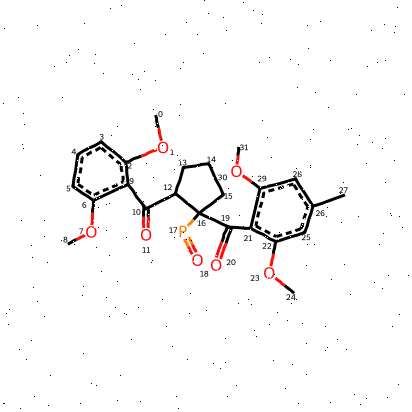 COc1cccc(OC)c1C(=O)C1CCCC1(P=O)C(=O)c1c(OC)cc(C)cc1OC